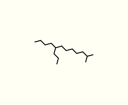 CCCCC([CH]CCCCC(C)C)CCC